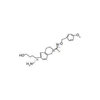 COc1ccc(CO/N=C(\C)[C@@H]2CCc3cc([C@H](CN)CCCO)ccc3C2)cc1